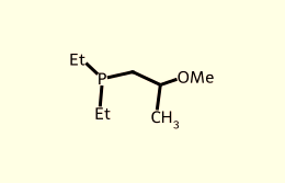 CCP(CC)CC(C)OC